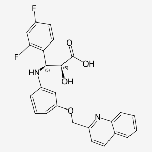 O=C(O)[C@@H](O)[C@@H](Nc1cccc(OCc2ccc3ccccc3n2)c1)c1ccc(F)cc1F